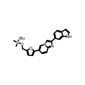 CC(C)(C)[Si](C)(C)OCc1ccc(-c2ccc3nc(-c4ccc5cc[nH]c5c4)cn3c2)o1